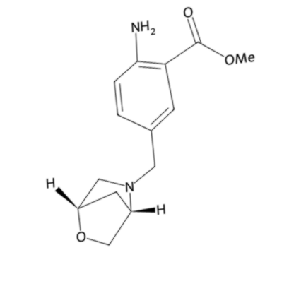 COC(=O)c1cc(CN2C[C@@H]3C[C@H]2CO3)ccc1N